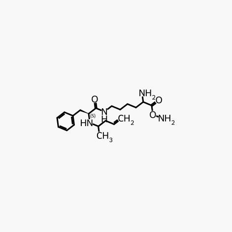 C=CCC(C)N[C@@H](Cc1ccccc1)C(=O)NCCCCC(N)C(=O)ON